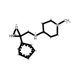 CN1CCC(NCC2(c3ccccc3)NO2)CC1